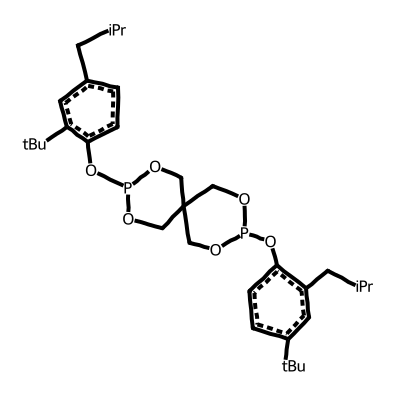 CC(C)Cc1ccc(OP2OCC3(COP(Oc4ccc(C(C)(C)C)cc4CC(C)C)OC3)CO2)c(C(C)(C)C)c1